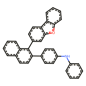 c1ccc(Nc2ccc(-c3ccc4ccccc4c3-c3ccc4c(c3)oc3ccccc34)cc2)cc1